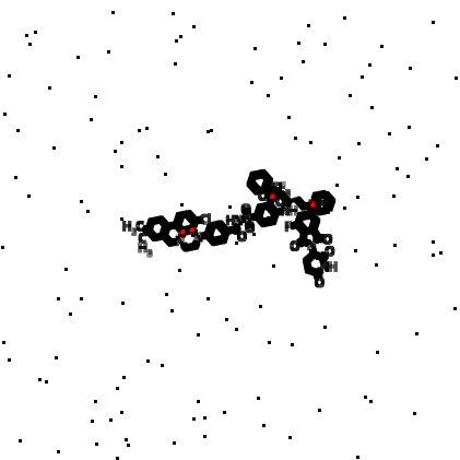 CC1(C)CCC(c2ccc(Cl)cc2)=C(CN2CCN(c3ccc(C(=O)NS(=O)(=O)c4ccc(N[C@H](CCN5CC6CC(C5)N6Cc5cc(F)c6c(c5)C(=O)N(C5CCC(=O)NC5=O)C6=O)CSc5ccccc5)c(S(=O)(=O)C(F)(F)F)c4)cc3)CC2)C1